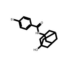 [CH2]Cc1ccc(C(=O)NC23CC4CC(CC(O)(C4)C2)C3)cc1